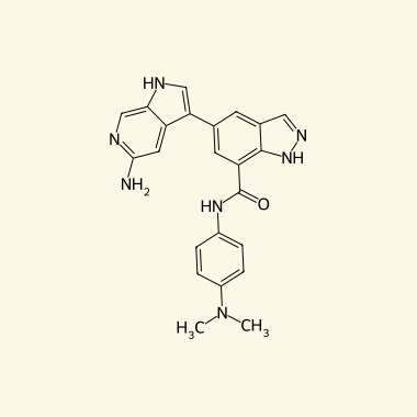 CN(C)c1ccc(NC(=O)c2cc(-c3c[nH]c4cnc(N)cc34)cc3cn[nH]c23)cc1